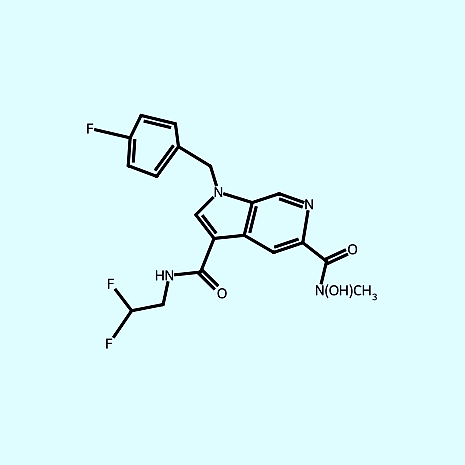 CN(O)C(=O)c1cc2c(C(=O)NCC(F)F)cn(Cc3ccc(F)cc3)c2cn1